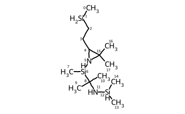 C[SiH2]CCC1N([SiH](C)C(C)(C)N[SiH](C)C)C1(C)C